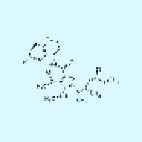 C=C/C(Cl)=C\C(=C)C(=C)c1sc(C(=O)N[C@H]2CCOc3ccc(F)cc32)c(C(C)=O)c1NC